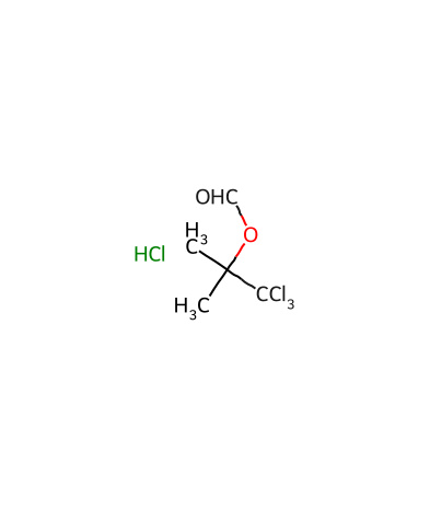 CC(C)(OC=O)C(Cl)(Cl)Cl.Cl